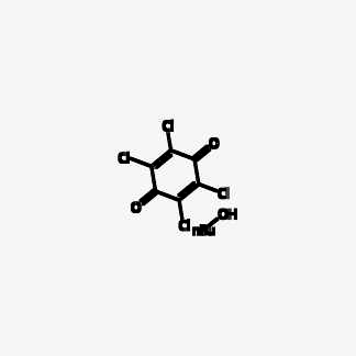 CCCCO.O=C1C(Cl)=C(Cl)C(=O)C(Cl)=C1Cl